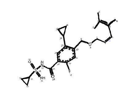 CC(C)=C(C)/C=C\COCc1cc(F)c(C(=O)NS(=N)(=O)C2CC2)cc1C1CC1